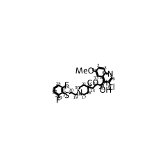 COc1ccc2ncc(Cl)c([C@H](O)CCC3(C(=O)O)CCN(CCSc4c(F)cccc4F)CC3)c2c1